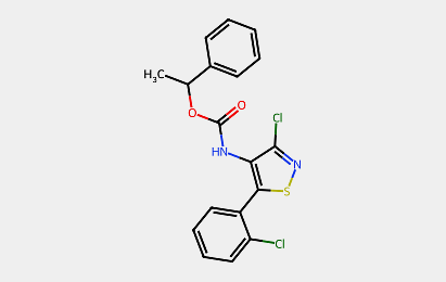 CC(OC(=O)Nc1c(Cl)nsc1-c1ccccc1Cl)c1ccccc1